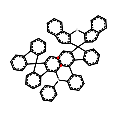 c1ccc(N(c2ccccc2-c2cccc3c2-c2ccccc2C32c3ccc4ccccc4c3Oc3c2ccc2ccccc32)c2cccc3c2-c2ccccc2C32c3ccccc3-c3ccccc32)cc1